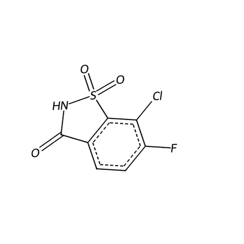 O=C1NS(=O)(=O)c2c1ccc(F)c2Cl